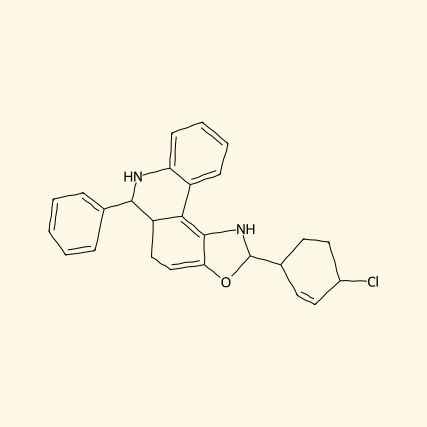 ClC1C=CC(C2NC3=C4c5ccccc5NC(c5ccccc5)C4CC=C3O2)CC1